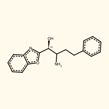 NC(CCc1ccccc1)[C@H](O)c1nc2ccccc2o1